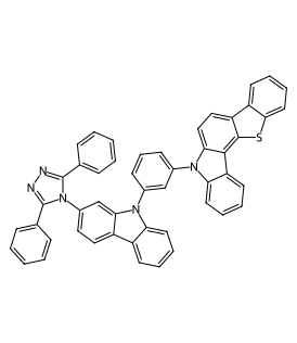 c1ccc(-c2nnc(-c3ccccc3)n2-c2ccc3c4ccccc4n(-c4cccc(-n5c6ccccc6c6c7sc8ccccc8c7ccc65)c4)c3c2)cc1